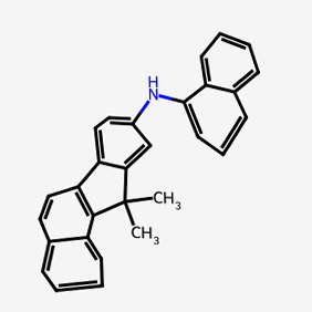 CC1(C)c2cc(Nc3cccc4ccccc34)ccc2-c2ccc3ccccc3c21